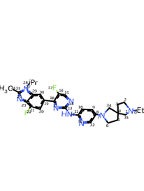 CCN1CCC2(CCN(c3ccc(Nc4ncc(F)c(-c5cc(F)c6nc(C)n(C(C)C)c6c5)n4)nc3)C2)C1